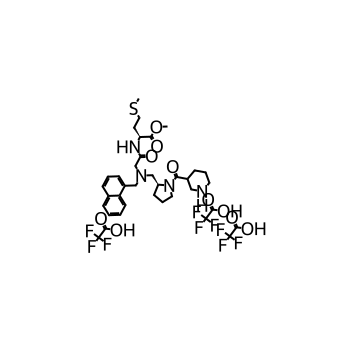 COC(=O)[C@H](CCSC)NC(=O)CN(Cc1cccc2ccccc12)C[C@@H]1CCCN1C(=O)C1CCCNC1.O=C(O)C(F)(F)F.O=C(O)C(F)(F)F.O=C(O)C(F)(F)F